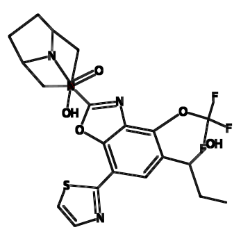 CCC(O)c1cc(-c2nccs2)c2oc(N3CC4CCC(C3)N4C(=O)O)nc2c1OC(F)(F)F